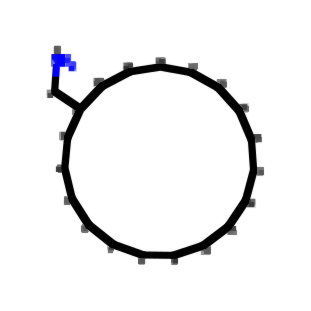 NCC1CCCCCCCCCCCCCCCCCC1